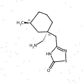 C[C@H]1CCC[C@@](CN)(Cc2nsc(=O)[nH]2)C1